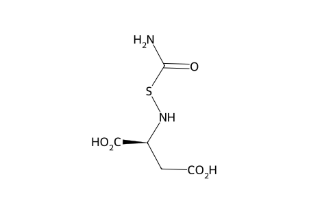 NC(=O)SN[C@@H](CC(=O)O)C(=O)O